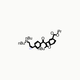 CCCCc1oc2ccc(C(=O)OC(C)C)cc2c1C(=O)c1ccc(/C=C\CN(CCCC)CCCC)cc1